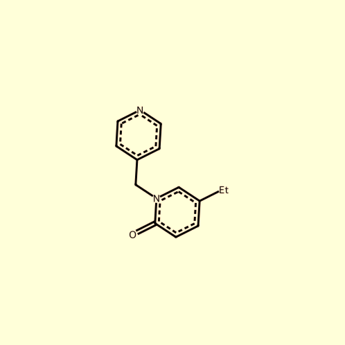 CCc1ccc(=O)n(Cc2ccncc2)c1